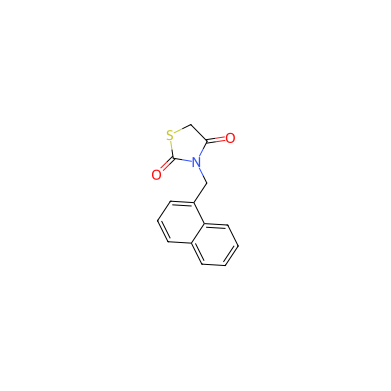 O=C1CSC(=O)N1Cc1cccc2ccccc12